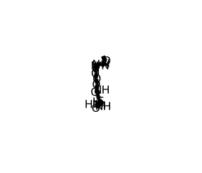 CC(C)(C)C(=O)CC1(CCc2cn(CCOCCOCCOCCNC(=O)CCCC[C@@H]3SC[C@@H]4NC(=O)N[C@@H]43)nn2)N=N1